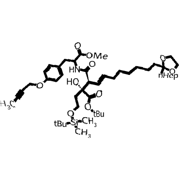 CC#CCOc1ccc(CC(NC(=O)[C@@H](/C=C/CCCCCCC2(CCCCCCC)OCCO2)[C@](O)(CCO[Si](C)(C)C(C)(C)C)C(=O)OC(C)(C)C)C(=O)OC)cc1